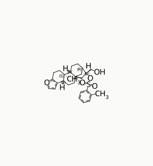 Cc1ccccc1S(=O)(=O)O[C@]1(CO)C[C@@]23CC[C@@H]4c5ccoc5CC[C@@]4(C)[C@@H]2CC[C@@H]1C3